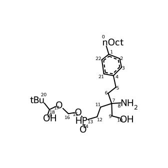 CCCCCCCCc1ccc(CCC(N)(CO)CC[PH](=O)OCOC(O)C(C)(C)C)cc1